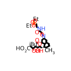 CCOP(=O)(CCNC(=O)CO/N=C1/C=C2C=C[C@H](C)[C@H](CC[C@@H](O)C[C@@H](O)CC(=O)O)C2[C@@H](OC(=O)[C@@H](C)CC)C1)OCC